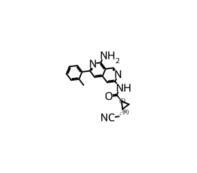 Cc1ccccc1-c1cc2cc(NC(=O)[C@H]3C[C@@H]3CC#N)ncc2c(N)n1